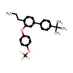 CCCc1ccc(-c2ccc(C(C)(C)C)cc2)cc1Oc1ccc(OC(F)(F)F)cc1